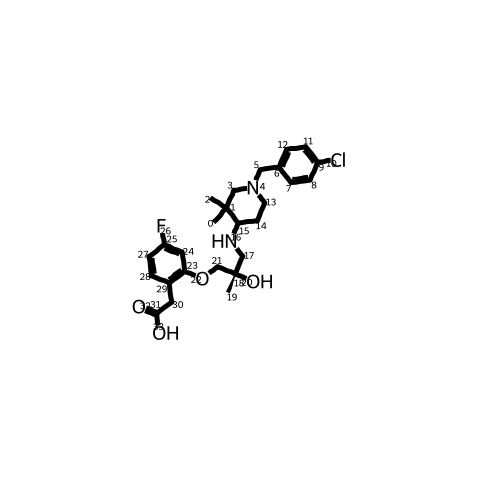 CC1(C)CN(Cc2ccc(Cl)cc2)CCC1NC[C@](C)(O)COc1cc(F)ccc1CC(=O)O